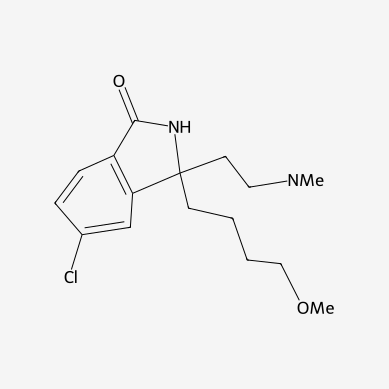 CNCCC1(CCCCOC)NC(=O)c2ccc(Cl)cc21